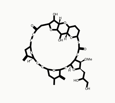 C=C1C(C)CC2CC[C@@H]3OC(CCC(=O)CC4OC5C(O)[C@H]6OC(CCC6O[C@H]5C4O)CC(=O)CC4[C@H](CC1O2)O[C@H](CC(O)CO)[C@@H]4OC)CC3=C